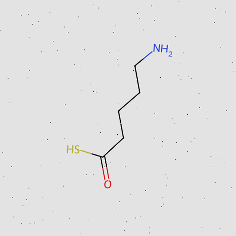 NCCCCC(=O)S